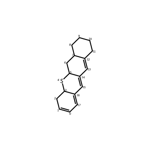 C1=CCC2SC3CC4CCCCC4=CC3=CC2=C1